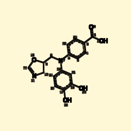 O=C(O)c1ccc(N(CC2CN=CO2)c2ccc(O)c(O)c2)cc1